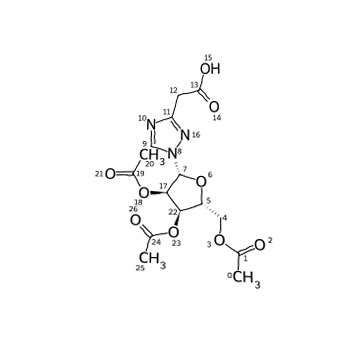 CC(=O)OC[C@H]1O[C@@H](n2cnc(CC(=O)O)n2)[C@H](OC(C)=O)[C@@H]1OC(C)=O